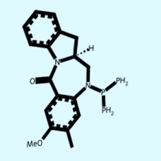 COc1cc2c(cc1C)N(P(P)P)C[C@@H]1Cc3ccccc3N1C2=O